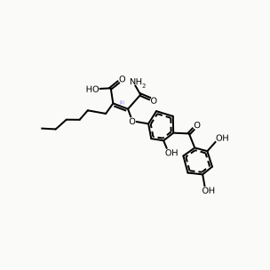 CCCCCC/C(C(=O)O)=C(\Oc1ccc(C(=O)c2ccc(O)cc2O)c(O)c1)C(N)=O